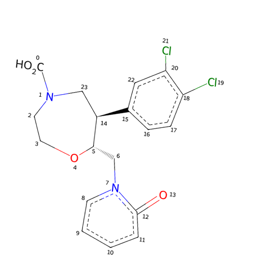 O=C(O)N1CCO[C@@H](Cn2ccccc2=O)[C@H](c2ccc(Cl)c(Cl)c2)C1